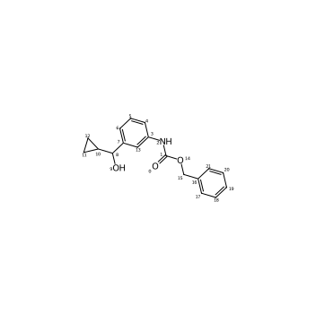 O=C(Nc1cccc(C(O)C2CC2)c1)OCc1ccccc1